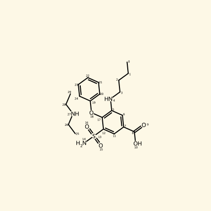 CCCCNc1cc(C(=O)O)cc(S(N)(=O)=O)c1Oc1ccccc1.CCNCC